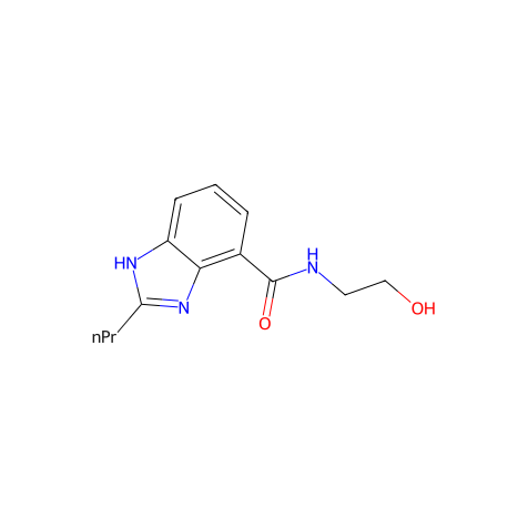 CCCc1nc2c(C(=O)NCCO)cccc2[nH]1